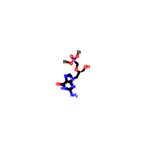 CCOP(=O)(CO[C@H](CO)Cn1cnc2c(=O)[nH]c(N)nc21)OCC